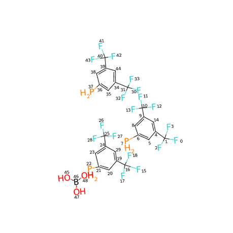 FC(F)(F)c1cc(P)cc(C(F)(F)F)c1.FC(F)(F)c1cc(P)cc(C(F)(F)F)c1.FC(F)(F)c1cc(P)cc(C(F)(F)F)c1.OB(O)O